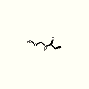 C=CC(=O)NCOS